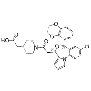 O=C(O)CC1CCN(C(=O)C[C@H]2O[C@H](c3cccc4c3OCCO4)c3cc(Cl)ccc3-n3cccc32)CC1